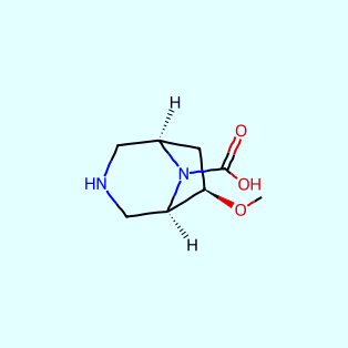 CO[C@@H]1C[C@@H]2CNC[C@H]1N2C(=O)O